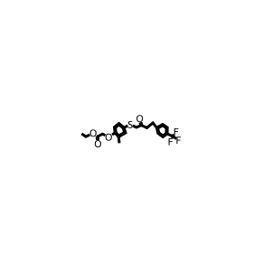 CCOC(=O)COc1ccc(SCC(=O)CCc2ccc(C(F)(F)F)cc2)cc1C